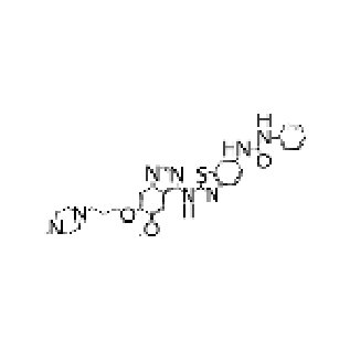 COc1cc2c(Nc3nc4ccc(NC(=O)Nc5ccccc5)cc4s3)ncnc2cc1OCCCN1CCN(C)CC1